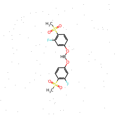 CS(=O)(=O)c1ccc(OBOc2ccc(S(C)(=O)=O)c(F)c2)cc1F